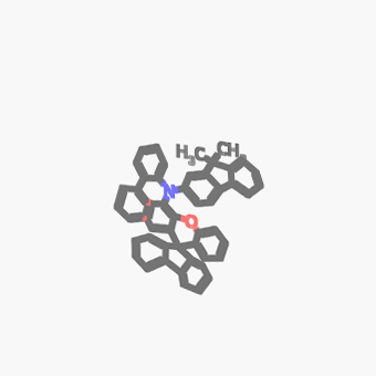 CC1(C)c2ccccc2-c2ccc(N(c3ccccc3-c3ccccc3)c3cccc4c3Oc3ccccc3C43c4ccccc4-c4ccccc43)cc21